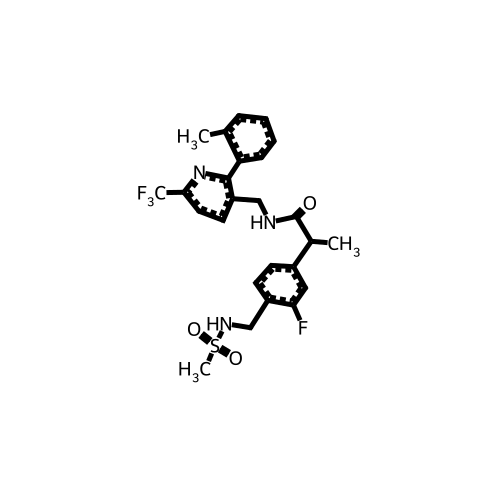 Cc1ccccc1-c1nc(C(F)(F)F)ccc1CNC(=O)C(C)c1ccc(CNS(C)(=O)=O)c(F)c1